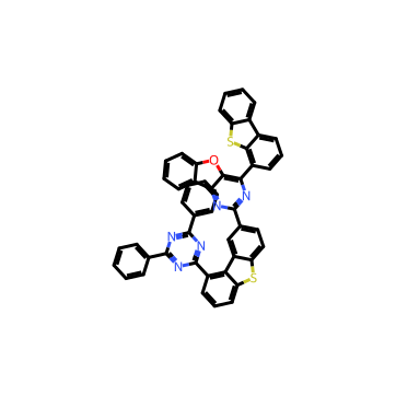 c1ccc(-c2nc(-c3ccccc3)nc(-c3cccc4sc5ccc(-c6nc(-c7cccc8c7sc7ccccc78)c7oc8ccccc8c7n6)cc5c34)n2)cc1